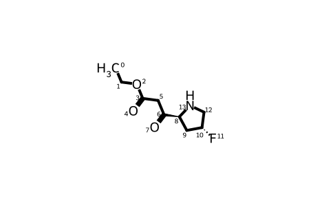 CCOC(=O)CC(=O)[C@@H]1C[C@@H](F)CN1